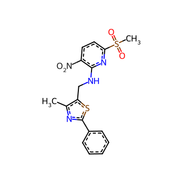 Cc1nc(-c2ccccc2)sc1CNc1nc(S(C)(=O)=O)ccc1[N+](=O)[O-]